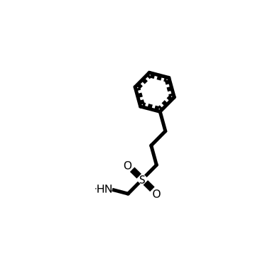 [NH]CS(=O)(=O)CCCc1ccccc1